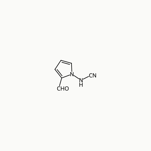 N#CNn1cccc1C=O